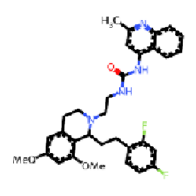 COc1cc2c(c(OC)c1)C(CCc1ccc(F)cc1F)N(CCNC(=O)Nc1cc(C)nc3ccccc13)CC2